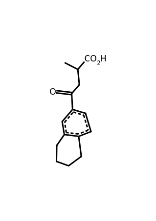 CC(CC(=O)c1ccc2c(c1)CCCC2)C(=O)O